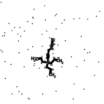 C=CC[Si](C#CCN=[N+]=[N-])(CC=C)CC=C